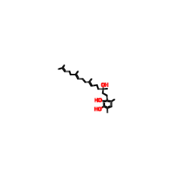 CC(C)=CCC/C(C)=C/CC/C(C)=C/CCC(C)(O)CCc1c(C)cc(C)c(O)c1O